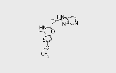 CC(NC(=O)[C@@H]1C[C@H]1c1nc2cnccc2[nH]1)c1ccc(OCC(F)(F)F)s1